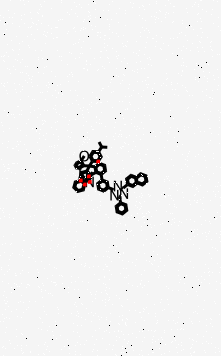 Cc1nc2ccccc2n1-c1cccc2c1C1(c3ccc(C(C)C)cc3O2)c2ccccc2-c2c(-c3cccc(-c4nc(-c5ccccc5)nc(-c5ccc6ccccc6c5)n4)c3)cccc21